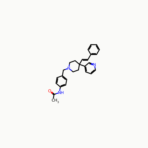 CC(=O)Nc1ccc(CN2CCC(C=Cc3ccccc3)(c3cccnc3)CC2)cc1